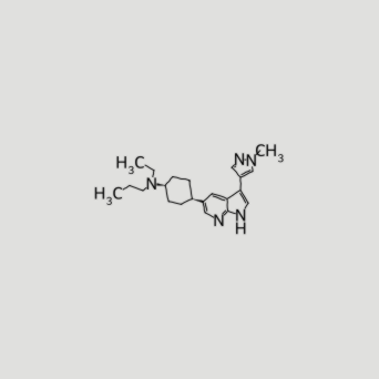 CCCN(CC)[C@H]1CC[C@@H](c2cnc3[nH]cc(-c4cnn(C)c4)c3c2)CC1